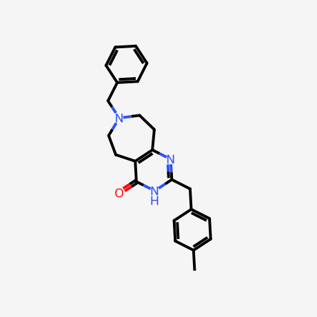 Cc1ccc(Cc2nc3c(c(=O)[nH]2)CCN(Cc2ccccc2)CC3)cc1